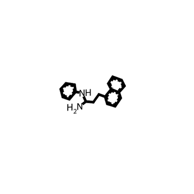 NC(CCc1cccc2ccccc12)Nc1ccccc1